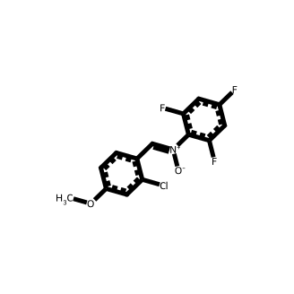 COc1ccc(C=[N+]([O-])c2c(F)cc(F)cc2F)c(Cl)c1